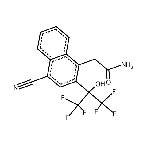 N#Cc1cc(C(O)(C(F)(F)F)C(F)(F)F)c(CC(N)=O)c2ccccc12